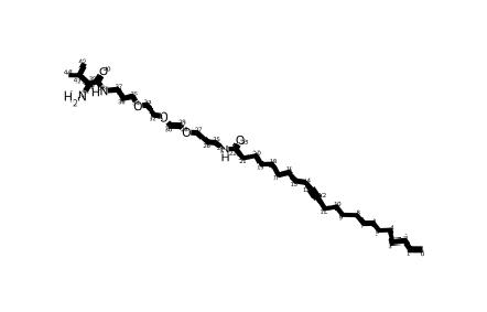 CCCCCCCCCCCCC#CCCCCCCCCC(=O)NCCCOCCOCCOCCCNC(=O)C(N)C(C)C